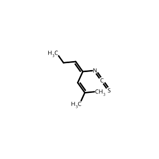 CC/C=C(\C=C(C)C)N=C=S